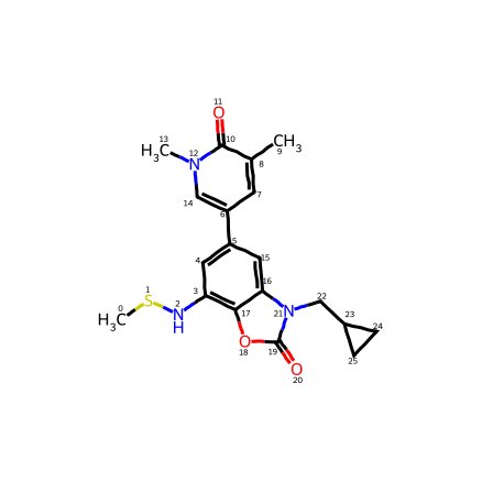 CSNc1cc(-c2cc(C)c(=O)n(C)c2)cc2c1oc(=O)n2CC1CC1